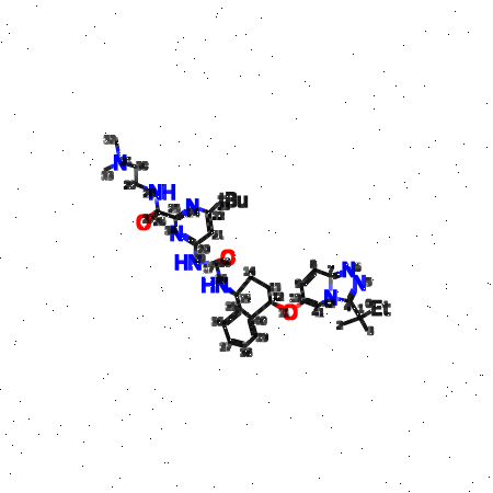 CCC(C)(C)c1nnc2ccc(O[C@@H]3CC[C@H](NC(=O)Nc4cc(C(C)(C)C)nc(C(=O)NCCN(C)C)n4)c4ccccc43)cn12